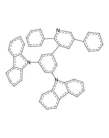 c1ccc(-c2cnc(-c3ccccc3)c(-c3cc(-n4c5ccccc5c5ccccc54)cc(-n4c5ccccc5c5ccccc54)c3)c2)cc1